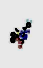 CCCSc1nc(N[C@@H]2C[C@H]2c2ccc(F)c(F)c2)c2nnn([C@@H]3C[C@H](C=O)O[C@H]3CO[Si](c3ccccc3)(c3ccccc3)C(C)(C)C)c2n1